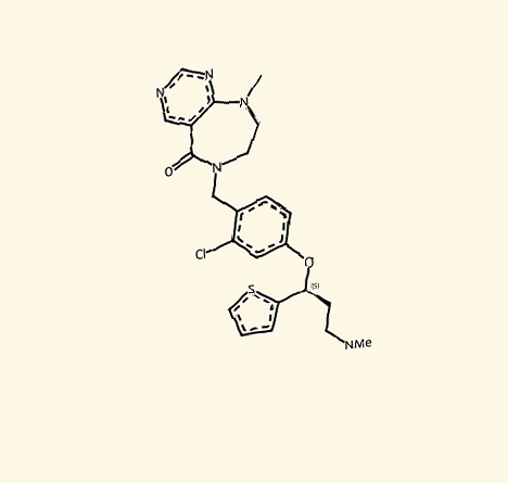 CNCC[C@H](Oc1ccc(CN2CCN(C)c3ncncc3C2=O)c(Cl)c1)c1cccs1